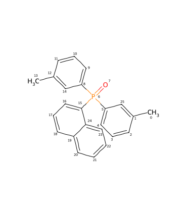 Cc1cccc(P(=O)(c2cccc(C)c2)c2cccc3ccccc23)c1